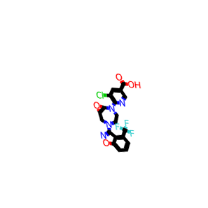 O=C(O)c1cnc(N2CCN(c3noc4cccc(C(F)(F)F)c34)CC3OC32)c(Cl)c1